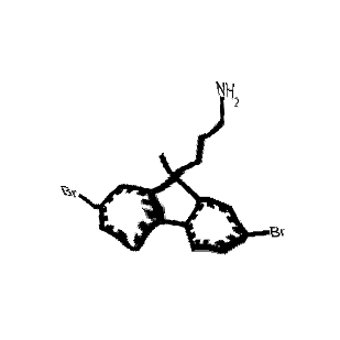 CC1(CCCN)c2cc(Br)ccc2-c2ccc(Br)cc21